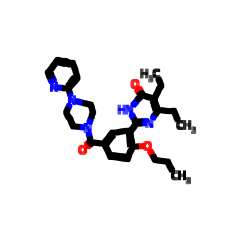 CCCOc1ccc(C(=O)N2CCN(c3ccccn3)CC2)cc1-c1nc(CC)c(CC)c(=O)[nH]1